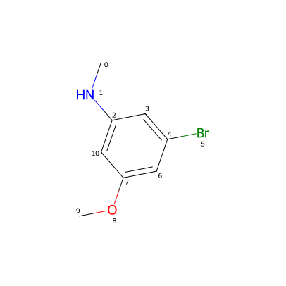 CNc1cc(Br)cc(OC)c1